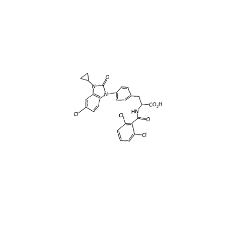 O=C(NC(Cc1ccc(-n2c(=O)n(C3CC3)c3cc(Cl)ccc32)cc1)C(=O)O)c1c(Cl)cccc1Cl